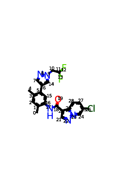 Cc1cc(C)c(-c2cnn(CC(F)F)c2)cc1NC(=O)c1cnn2cc(Cl)ccc12